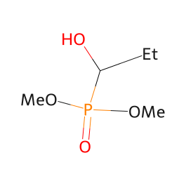 CCC(O)P(=O)(OC)OC